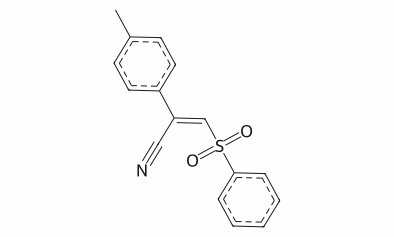 Cc1ccc(C(C#N)=CS(=O)(=O)c2ccccc2)cc1